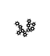 c1ccc(-c2ccc3c4cc5c(c6ccccc6n5-c5nc(-c6ccc7c8ccccc8n(-c8ccccc8)c7c6)c6c(n5)sc5ccccc56)c5c6ccccc6n(c3c2)c45)cc1